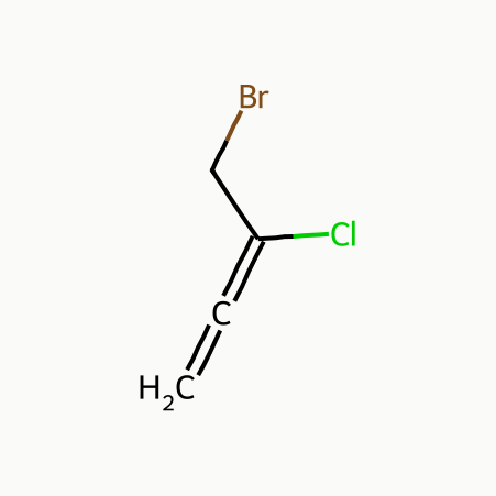 C=C=C(Cl)CBr